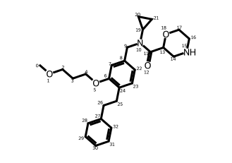 COCCCOc1cc(CN(C(=O)C2CNCCO2)C2CC2)ccc1CCc1ccccc1